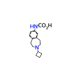 O=C(O)Nc1ccc2c(c1)CCN(C1CCC1)CC2